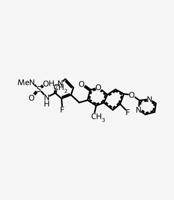 C=C(NS(=O)(=O)NC)/C(F)=C(\C=C/N)Cc1c(C)c2cc(F)c(Oc3ncccn3)cc2oc1=O